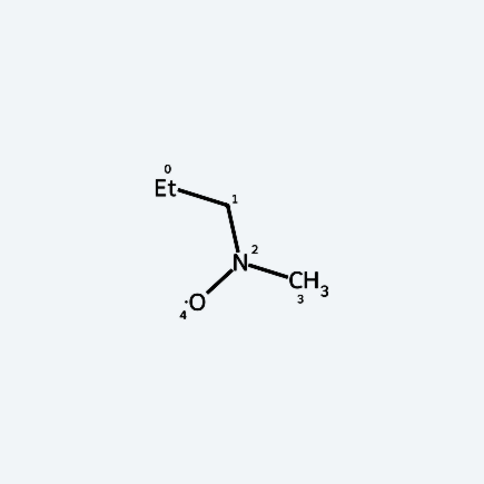 CCCN(C)[O]